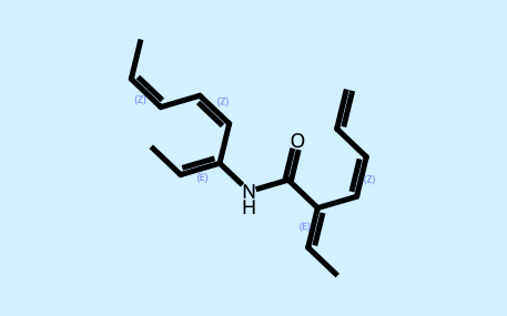 C=C/C=C\C(=C/C)C(=O)NC(/C=C\C=C/C)=C/C